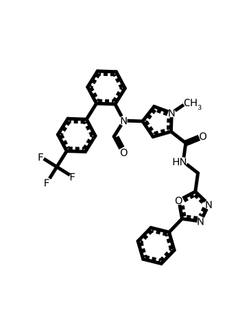 Cn1cc(N(C=O)c2ccccc2-c2ccc(C(F)(F)F)cc2)cc1C(=O)NCc1nnc(-c2ccccc2)o1